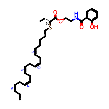 CC/C=C\C/C=C\C/C=C\C/C=C\C/C=C\CCCCS[C@H](CC)C(=O)OCCNC(=O)c1ccccc1O